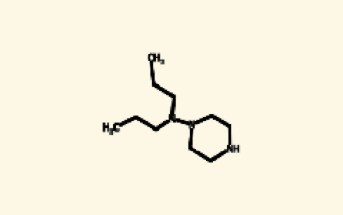 CCCN(CCC)N1CCNCC1